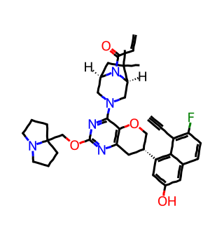 C#Cc1c(F)ccc2cc(O)cc([C@H]3COc4c(nc(OCC56CCCN5CCC6)nc4N4C[C@H]5CC(C)(C)[C@@H](C4)N5C(=O)C=C)C3)c12